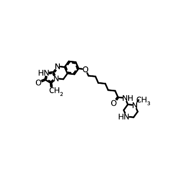 C=c1c(=O)[nH]c2n1Cc1cc(OCCCCCCC(=O)NC3CNCCN3C)ccc1N=2